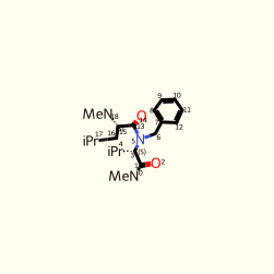 CNC(=O)[C@H](C(C)C)N(Cc1ccccc1)C(=O)[C@H](CC(C)C)NC